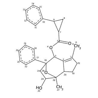 CC1=C2C(OC(=O)C3CC3c3ccccc3)C3(c4ccccc4)CC(O)C(C)(O3)C2CC1